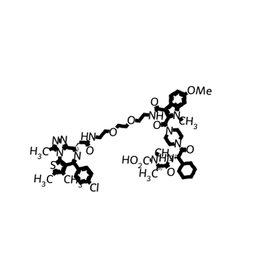 COc1ccc2c(C(=O)NCCOCCOCCNC(=O)C[C@@H]3N=C(c4ccc(Cl)cc4)c4c(sc(C)c4C)-n4c(C)nnc43)c(C(=O)N3CCN(C(=O)[C@@H](NC(=O)[C@H](C)N(C)C(=O)O)C4CCCCC4)CC3)n(C)c2c1